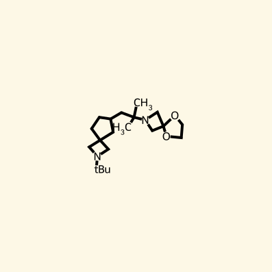 CC(C)(C)N1CC2(CCC(CC(C)(C)N3CC4(C3)OCCO4)C2)C1